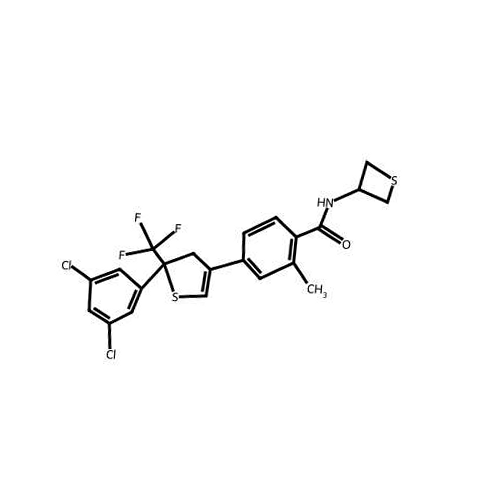 Cc1cc(C2=CSC(c3cc(Cl)cc(Cl)c3)(C(F)(F)F)C2)ccc1C(=O)NC1CSC1